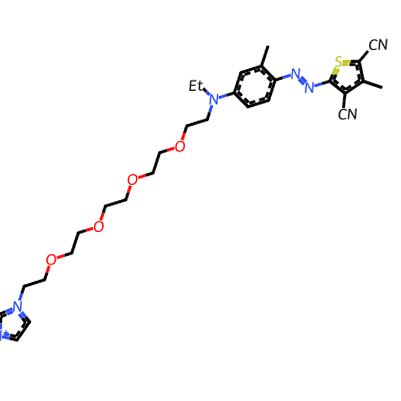 CCN(CCOCCOCCOCCOCCn1cc[n+](C)c1)c1ccc(/N=N/c2sc(C#N)c(C)c2C#N)c(C)c1